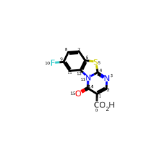 O=C(O)c1cnc2sc3ccc(F)cc3n2c1=O